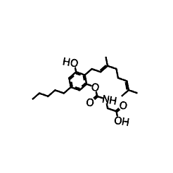 CCCCCc1cc(O)c(C/C=C(\C)CCC=C(C)C)c(OC(=O)NCC(=O)O)c1